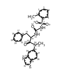 Cc1ccccc1S(=O)(=O)NC(=O)NC(Cc1ccccc1)C(=O)N(C)c1ccc2scnc2c1